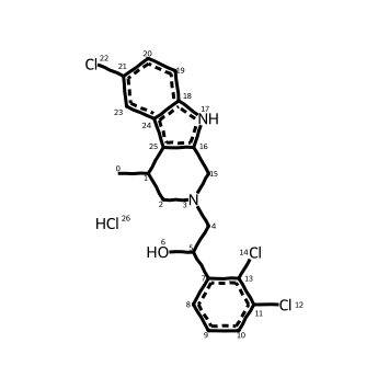 CC1CN(CC(O)c2cccc(Cl)c2Cl)Cc2[nH]c3ccc(Cl)cc3c21.Cl